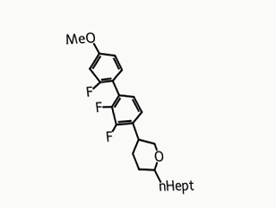 CCCCCCCC1CCC(c2ccc(-c3ccc(OC)cc3F)c(F)c2F)CO1